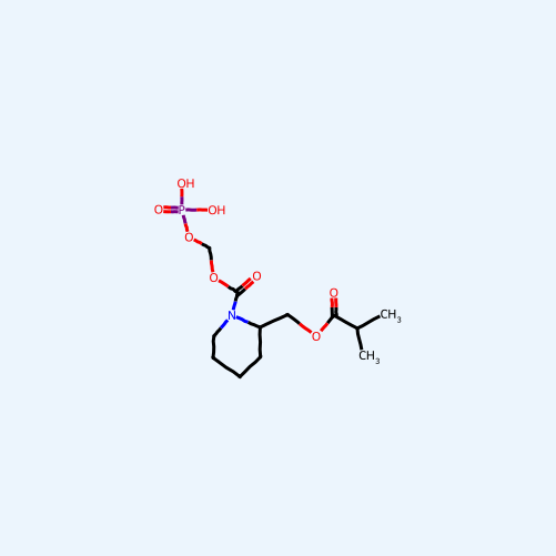 CC(C)C(=O)OCC1CCCCN1C(=O)OCOP(=O)(O)O